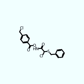 O=C(ONC(=O)C(Cl)SCc1ccccc1)c1ccc(CCl)cc1